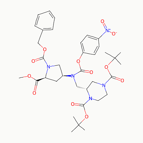 COC(=O)[C@@H]1C[C@H](N(C[C@@H]2CN(C(=O)OC(C)(C)C)CCN2C(=O)OC(C)(C)C)C(=O)Oc2ccc([N+](=O)[O-])cc2)CN1C(=O)OCc1ccccc1